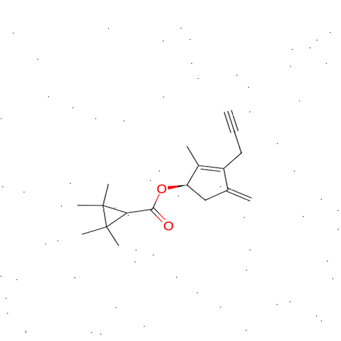 C#CCC1=C(C)[C@H](OC(=O)C2C(C)(C)C2(C)C)CC1=C